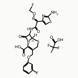 Nc1nc(C(=NOCF)C(=O)NC2C(=O)N3C(C(=O)O)=C(COc4cccc(F)c4)CS[C@@H]23)cs1.O=C(O)C(F)(F)F